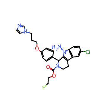 Nn1c2c(c3cc(Cl)ccc31)CCN(C(=O)OCCF)C2c1ccc(OCCCn2ccnc2)cc1